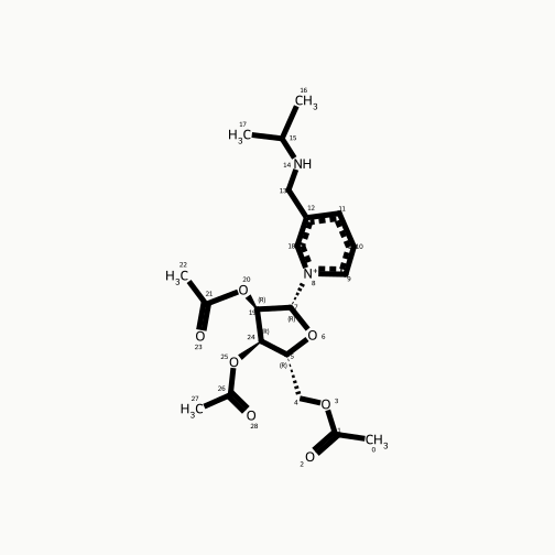 CC(=O)OC[C@H]1O[C@@H]([n+]2cccc(CNC(C)C)c2)[C@H](OC(C)=O)[C@@H]1OC(C)=O